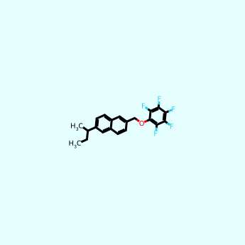 CCC(C)c1ccc2cc(COc3c(F)c(F)c(F)c(F)c3F)ccc2c1